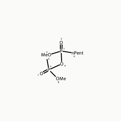 CCCCCP(=O)(OC)OP(C)(=O)OC